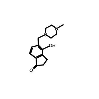 CN1CCN(Cc2ccc3c(c2O)CCC3=O)CC1